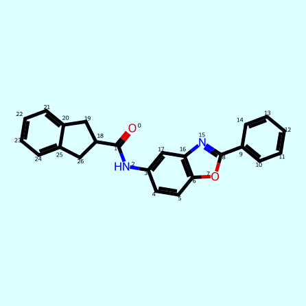 O=C(Nc1ccc2oc(-c3ccccc3)nc2c1)C1Cc2ccccc2C1